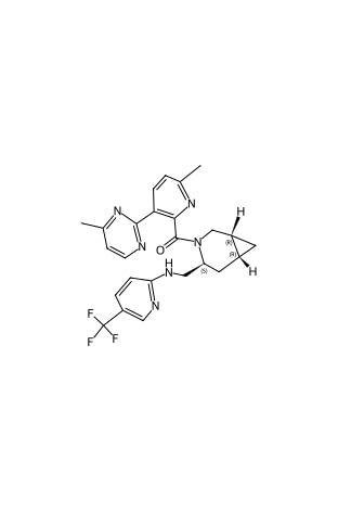 Cc1ccnc(-c2ccc(C)nc2C(=O)N2C[C@@H]3C[C@@H]3C[C@H]2CNc2ccc(C(F)(F)F)cn2)n1